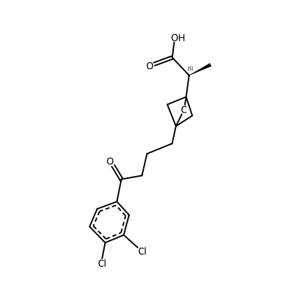 C[C@H](C(=O)O)C12CC(CCCC(=O)c3ccc(Cl)c(Cl)c3)(C1)C2